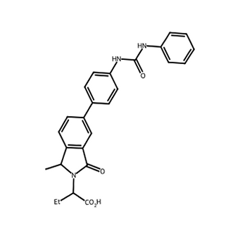 CCC(C(=O)O)N1C(=O)c2cc(-c3ccc(NC(=O)Nc4ccccc4)cc3)ccc2C1C